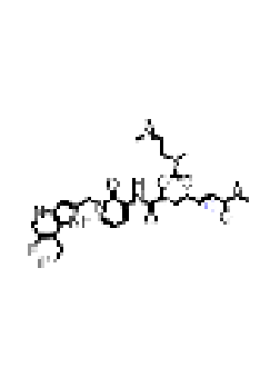 CC(C)Cc1c(F)cnc2cc(Cn3cccc(NC(=O)[C@H](CC/C=C/C(=O)N(C)C)OC(=O)N(C)CCN(C)C)c3=O)[nH]c12